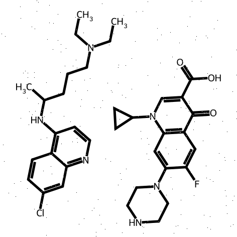 CCN(CC)CCCC(C)Nc1ccnc2cc(Cl)ccc12.O=C(O)c1cn(C2CC2)c2cc(N3CCNCC3)c(F)cc2c1=O